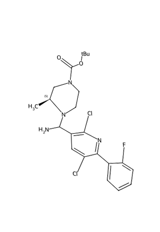 C[C@H]1CN(C(=O)OC(C)(C)C)CCN1C(N)c1cc(Cl)c(-c2ccccc2F)nc1Cl